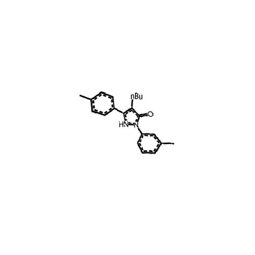 CCCCc1c(-c2ccc(C)cc2)[nH]n(-c2cccc(C)c2)c1=O